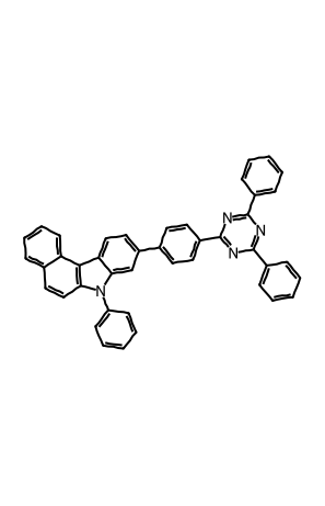 c1ccc(-c2nc(-c3ccccc3)nc(-c3ccc(-c4ccc5c6c7ccccc7ccc6n(-c6ccccc6)c5c4)cc3)n2)cc1